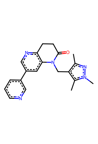 Cc1nn(C)c(C)c1CN1C(=O)CCc2ncc(-c3cccnc3)cc21